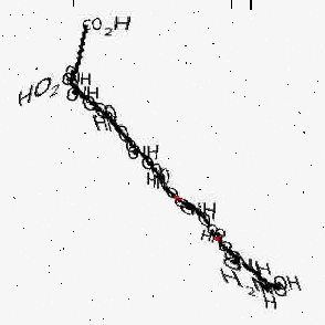 NN[C@@H](CCCCNC(=O)COCCOCCNC(=O)COCCOCCNC(=O)COCCOCCNC(=O)COCCOCCNC(=O)COCCOCCNC(=O)COCCOCCNC(=O)CC[C@H](NC(=O)CCCCCCCCCCCCCCC(=O)O)C(=O)O)C1OC1O